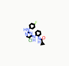 O=C(Nc1ccccc1Nc1nc(Nc2ccc(F)cc2)ncc1Cl)C1CC1